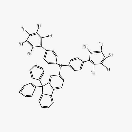 [2H]c1c([2H])c([2H])c(-c2ccc(N(c3ccc(-c4c([2H])c([2H])c([2H])c([2H])c4[2H])cc3)c3ccc4c(c3)C(c3ccccc3)(c3ccccc3)c3ccccc3-4)cc2)c([2H])c1[2H]